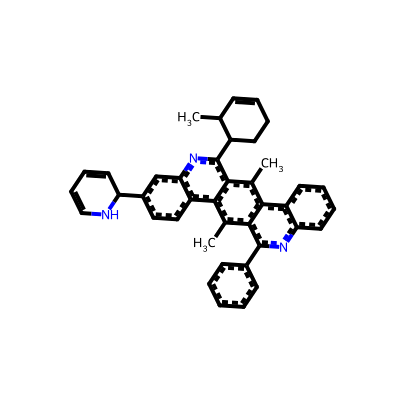 Cc1c2c(C3CCC=CC3C)nc3cc(C4C=CC=CN4)ccc3c2c(C)c2c(-c3ccccc3)nc3ccccc3c12